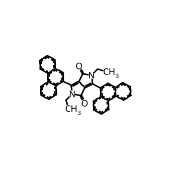 CCN1C(=O)C2=C(c3cc4ccccc4c4ccccc34)N(CC)C(=O)C2=C1c1cc2ccccc2c2ccccc12